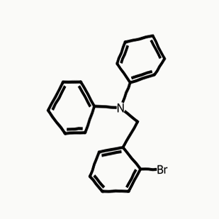 Brc1ccccc1CN(c1ccccc1)c1ccccc1